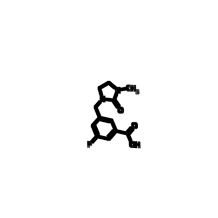 CN1CCN(Cc2cc(F)cc(C(=O)O)c2)C1=O